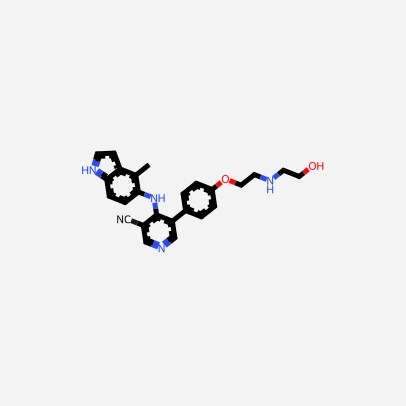 Cc1c(Nc2c(C#N)cncc2-c2ccc(OCCNCCO)cc2)ccc2[nH]ccc12